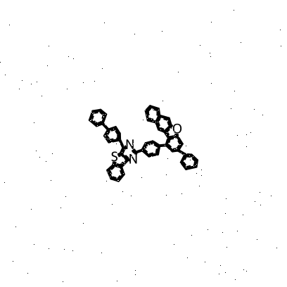 c1ccc(-c2ccc(-c3nc(-c4ccc(-c5cc(-c6ccccc6)cc6oc7cc8ccccc8cc7c56)cc4)nc4c3sc3ccccc34)cc2)cc1